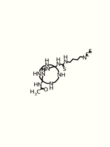 CC(=O)NC12CNCCNCC(NC(=S)NCCCCN=C=S)(CNCCNC1)CNCCNC2